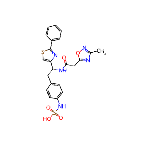 Cc1noc(CC(=O)NC(Cc2ccc(NS(=O)(=O)O)cc2)c2csc(-c3ccccc3)n2)n1